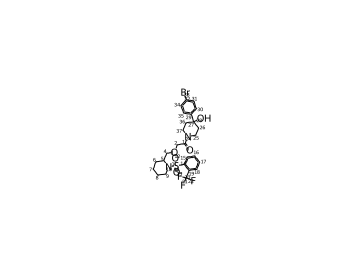 O=C(COCC1CCCCN1S(=O)(=O)c1ccccc1C(F)(F)F)N1CCC(O)(c2ccc(Br)cc2)CC1